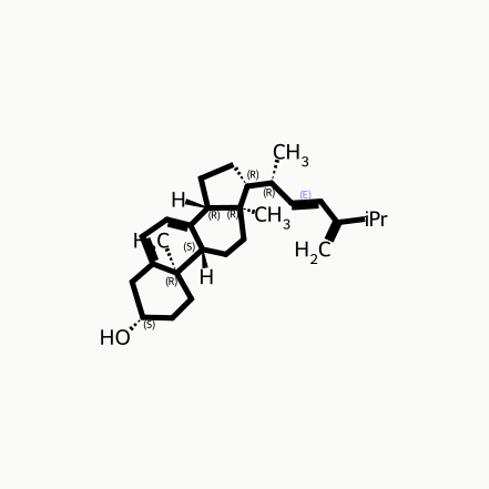 C=C(/C=C/[C@@H](C)[C@H]1CC[C@H]2C3=CC=C4C[C@@H](O)CC[C@]4(C)[C@H]3CC[C@]12C)C(C)C